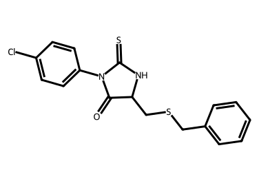 O=C1C(CSCc2ccccc2)NC(=S)N1c1ccc(Cl)cc1